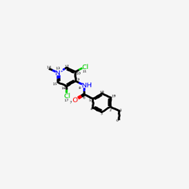 CCc1ccc(C(=O)Nc2c(Cl)c[n+](C)cc2Cl)cc1